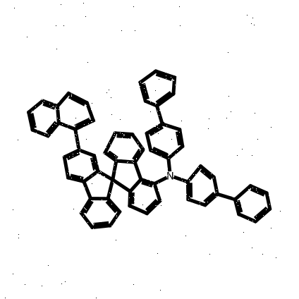 c1ccc(-c2ccc(N(c3ccc(-c4ccccc4)cc3)c3cccc4c3-c3ccccc3C43c4ccccc4-c4ccc(-c5cccc6ccccc56)cc43)cc2)cc1